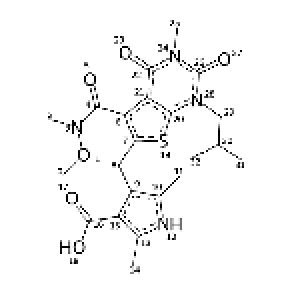 CON(C)C(=O)c1c(Cc2c(C)[nH]c(C)c2C(=O)O)sc2c1c(=O)n(C)c(=O)n2CC(C)C